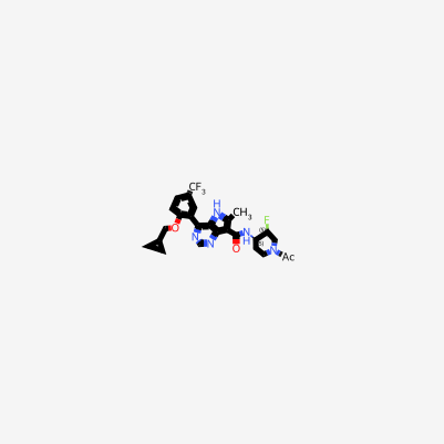 CC(=O)N1CC[C@H](NC(=O)c2c(C)[nH]c3c(-c4cc(C(F)(F)F)ccc4OCC4CC4)ncnc23)[C@@H](F)C1